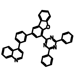 c1ccc(-c2nc(-c3ccccc3)nc(-c3cc(-c4cccc(-c5ccnc6ccccc56)c4)cc4c3oc3ccccc34)n2)cc1